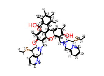 CCSCCN(Cc1ccccn1)Cc1c2oc3c(CN(CCSCC)Cc4ccccn4)c(O)c(C)cc3c(-c3c(C)c(C)c(C)c(C)c3C(=O)O)c-2cc(C)c1=O